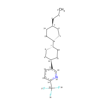 CCC[C@H]1CC[C@H]([C@H]2CC[C@H](c3ccc(C(F)(F)F)nc3)CC2)CC1